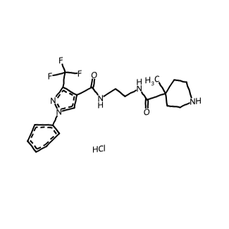 CC1(C(=O)NCCNC(=O)c2cn(-c3ccccc3)nc2C(F)(F)F)CCNCC1.Cl